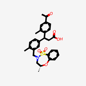 CC(=O)c1ccc(C(CC(=O)O)c2ccc(C)c(CN3C[C@@H](C)Oc4ccccc4S3(=O)=O)c2)c(C)c1